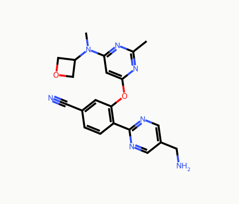 Cc1nc(Oc2cc(C#N)ccc2-c2ncc(CN)cn2)cc(N(C)C2COC2)n1